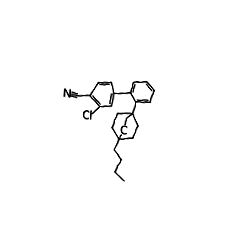 CCCCC12CCC(c3ccccc3-c3ccc(C#N)c(Cl)c3)(CC1)CC2